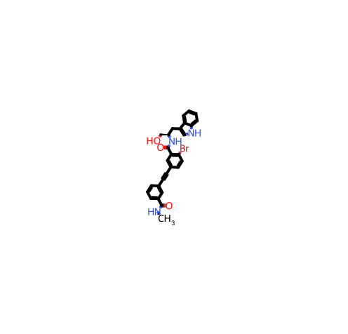 CNC(=O)c1cccc(C#Cc2ccc(Br)c(C(=O)N[C@@H](CO)Cc3c[nH]c4ccccc34)c2)c1